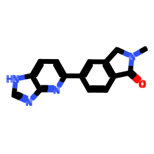 CN1Cc2cc(-c3ccc4[nH]cnc4n3)ccc2C1=O